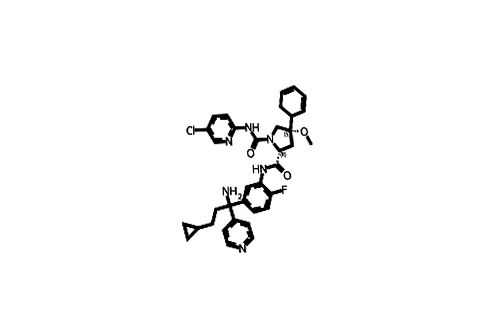 CO[C@]1(C2C=CC=CC2)C[C@H](C(=O)Nc2cc(C(N)(CCC3CC3)c3ccncc3)ccc2F)N(C(=O)Nc2ccc(Cl)cn2)C1